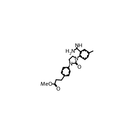 COC(=O)CCc1ccc(N2CCN(c3ccc(C)cc3C(=N)N)C2=O)cc1